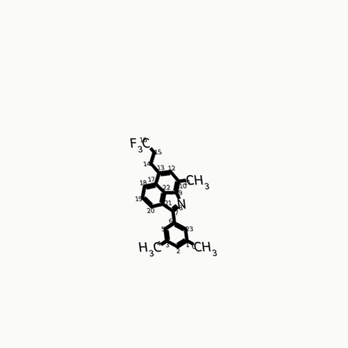 Cc1cc(C)cc(C2=Nc3c(C)cc(CCC(F)(F)F)c4cccc2c34)c1